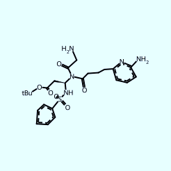 CC(C)(C)OC(=O)C[C@H](NS(=O)(=O)c1ccccc1)N(C(=O)CN)C(=O)CCCc1cccc(N)n1